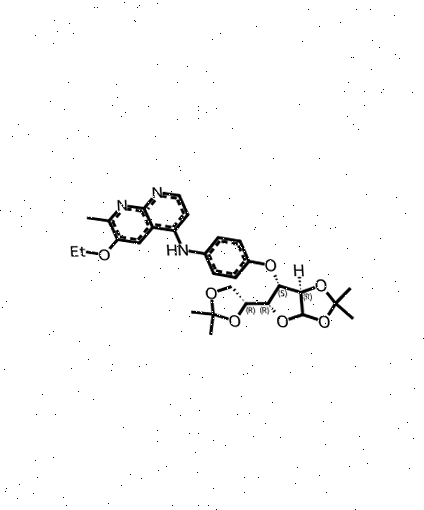 CCOc1cc2c(Nc3ccc(O[C@H]4[C@@H]([C@H]5COC(C)(C)O5)OC5OC(C)(C)O[C@@H]54)cc3)ccnc2nc1C